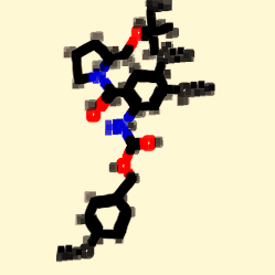 COc1ccc(COC(=O)Nc2cc(OC)c(OC)cc2C(=O)N2CCC[C@H]2CO[Si](C)(C)C(C)(C)C)cc1